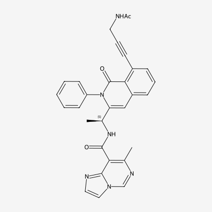 CC(=O)NCC#Cc1cccc2cc([C@H](C)NC(=O)c3c(C)ncn4ccnc34)n(-c3ccccc3)c(=O)c12